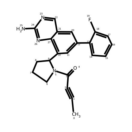 CC#CC(=O)N1CCCC1c1cc(-c2ccccc2F)cc2cnc(N)nc12